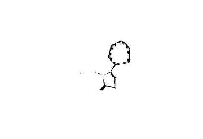 CCCCCCN1C(=S)CC=C1c1ccccc1